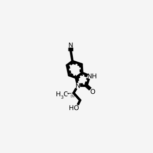 C[C@@H](CO)n1c(=O)[nH]c2cc(C#N)ccc21